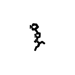 CC/C=C(/CC)N(C)C1CC=C(c2cccnc2)S1